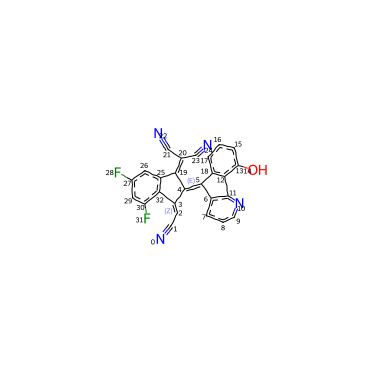 N#C/C=C1/C(=C2\c3cccnc3-c3c(O)cccc32)C(=C(C#N)C#N)c2cc(F)cc(F)c21